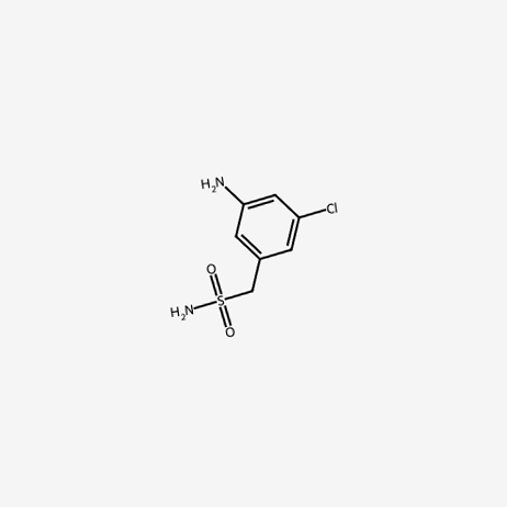 Nc1cc(Cl)cc(CS(N)(=O)=O)c1